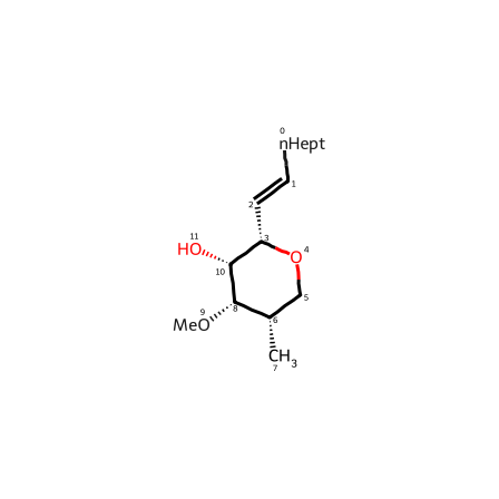 CCCCCCC/C=C/[C@@H]1OC[C@H](C)[C@H](OC)[C@@H]1O